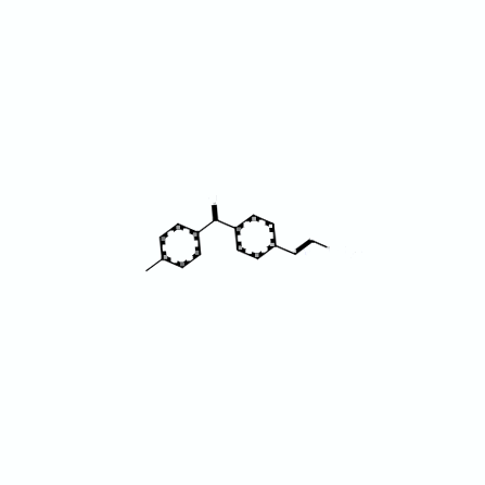 Cc1ccc(C(=O)c2ccc(/C=C/C(=O)O)cc2)cc1